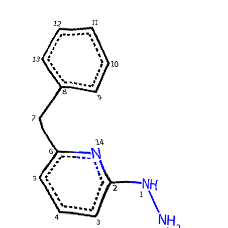 NNc1cccc(Cc2ccccc2)n1